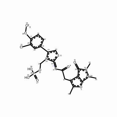 Cc1oc2c(c1CC(=O)/N=c1\scc(-c3ccc(OC(F)(F)F)c(Cl)c3)n1COP(=O)(O)O)c(=O)n(C)n2C